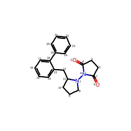 O=C1CCC(=O)N1N1CCCC1Cc1ccccc1-c1ccccc1